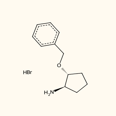 Br.N[C@@H]1CCC[C@H]1OCc1ccccc1